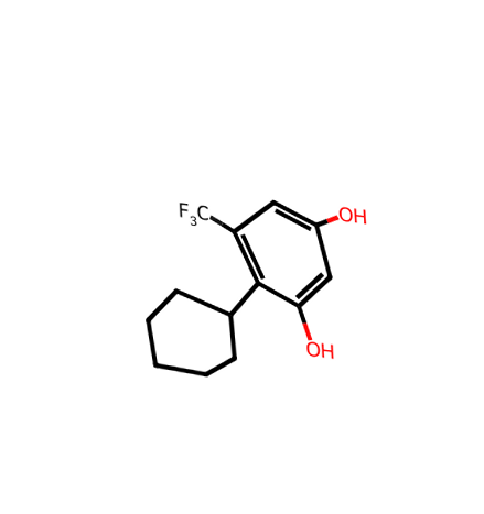 Oc1cc(O)c(C2CCCCC2)c(C(F)(F)F)c1